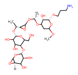 COC1CC(O[C@@H](C)OC2O[C@@H]2C(C)O[C@@H]2OC(CO)[C@@H](O[C@H]3OC4O[C@@H]4C(O)[C@@H]3O)C(O)C2O)[C@H](O)[C@H](OCCCN)O1